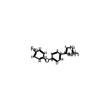 Cc1ncc(-c2ccc(Oc3ccc(F)cc3)cc2)[nH]1